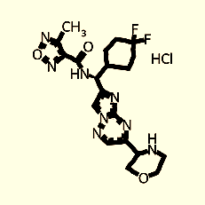 Cc1nonc1C(=O)N[C@H](c1cn2ncc(C3COCCN3)nc2n1)C1CCC(F)(F)CC1.Cl